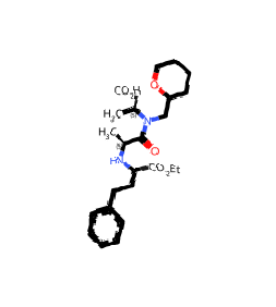 CCOC(=O)C(CCc1ccccc1)N[C@@H](C)C(=O)N(CC1CCCCO1)[C@@H](C)C(=O)O